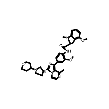 COc1cc(-c2nc([C@@H]3CCN(C4CCOCC4)C3)n3ccnc(C)c23)ccc1NC(=O)C1Cc2c(OC)cccc2N1C